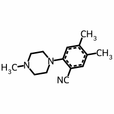 Cc1cc(C#N)c(N2CCN(C)CC2)cc1C